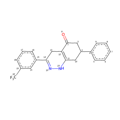 O=C1CC(c2ccccc2)CC2=C1CC(c1cccc(C(F)(F)F)c1)=NN2